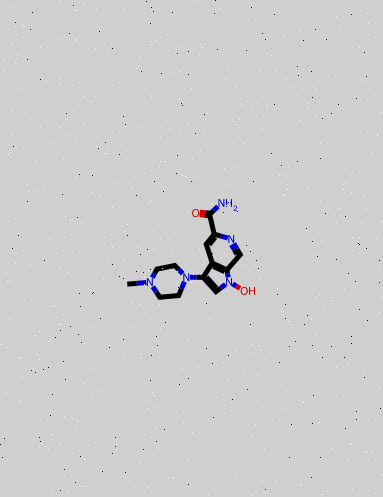 CN1CCN(c2cn(O)c3cnc(C(N)=O)cc23)CC1